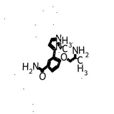 C[C@@H](N)COc1ccc(C(N)=O)cc1-c1ccnn1C